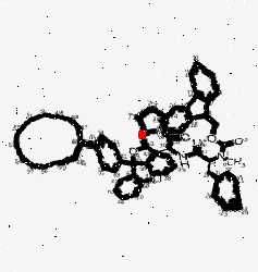 CN(C(=O)OCC1c2ccccc2-c2ccccc21)[C@@H](Cc1ccccc1)C(=O)N[C@@H](CC(=O)OC(c1ccccc1)(c1ccc(C2CCCCCCCCCCCC2)cc1)c1ccccc1Cl)C(=O)N1CCCC1